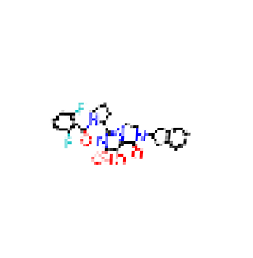 O=C1c2c(O)c(=O)nc(C3CCCN3C(=O)c3c(F)cccc3F)n2CCN1C1Cc2ccccc2C1